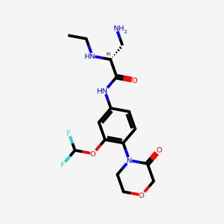 CCN[C@H](CN)C(=O)Nc1ccc(N2CCOCC2=O)c(OC(F)F)c1